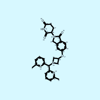 Cc1cccc(C(c2cccc(C)n2)N2CC(Oc3ccc4c(c3)CN(C3CCC(=O)NC3=O)C4=O)C2)n1